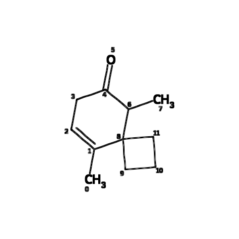 CC1=CCC(=O)C(C)C12CCC2